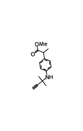 C#CC(C)(C)Nc1ccc(C(C)C(=O)OC)cc1